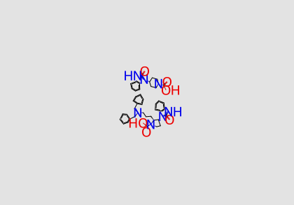 O=C(O)N1CCC(n2c(=O)[nH]c3ccccc32)CC1.O=C(O)N1CCC(n2c(=O)[nH]c3ccccc32)[C@@H]1CCCN(Cc1ccccc1)Cc1ccccc1